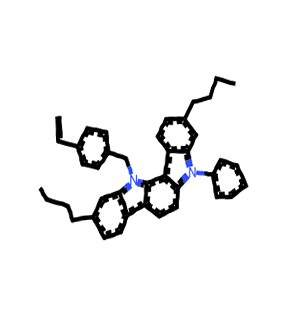 C=Cc1ccc(Cn2c3cc(CCCC)ccc3c3ccc4c(c5ccc(CCCC)cc5n4-c4ccccc4)c32)cc1